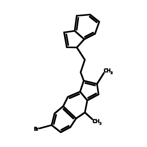 CC1=C(CCC2C=Cc3ccccc32)C2=Cc3cc(Br)ccc3C(C)C2=C1